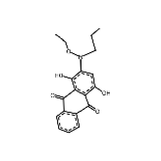 CCCN(OCC)c1cc(O)c2c(c1O)C(=O)c1ccccc1C2=O